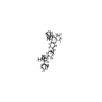 c1ccc(-c2c(-c3ccc(CN4CCC(c5cc(-c6ccccn6)[nH]n5)CC4)cc3)nc3sccn23)cc1